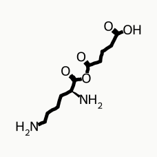 NCCCC[C@H](N)C(=O)OC(=O)CCCC(=O)O